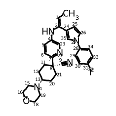 CC=C(Nc1ccc([C@]2(C#N)CC[C@@H](N3CCOCC3)CC2)nc1)c1ccn(-c2ccc(F)cc2)c1